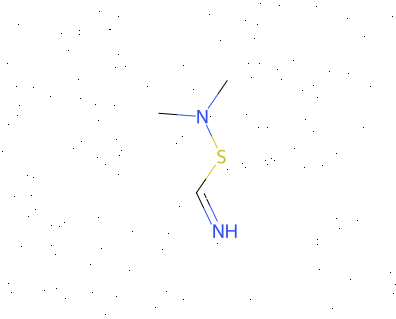 CN(C)SC=N